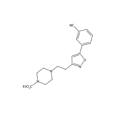 CCOC(=O)N1CCN(CCc2cc(-c3cccc(C#N)c3)on2)CC1